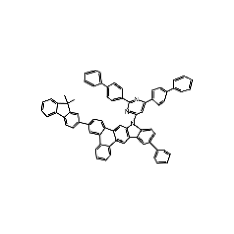 CC1(C)c2ccccc2-c2ccc(-c3ccc4c(c3)c3ccccc3c3cc5c6cc(-c7ccccc7)ccc6n(-c6cc(-c7ccc(-c8ccccc8)cc7)nc(-c7ccc(-c8ccccc8)cc7)n6)c5cc43)cc21